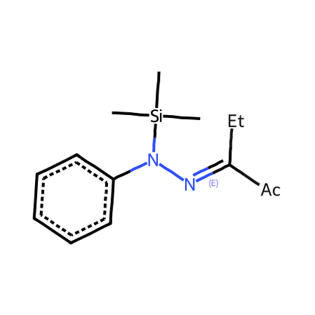 CC/C(=N\N(c1ccccc1)[Si](C)(C)C)C(C)=O